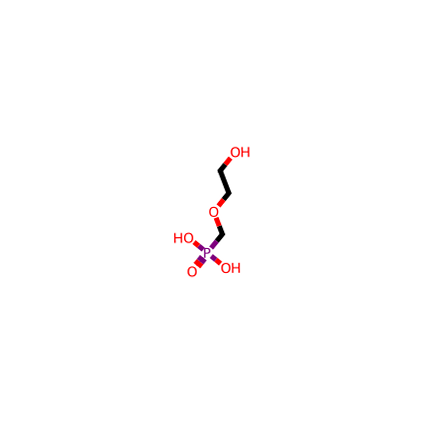 O=P(O)(O)COCCO